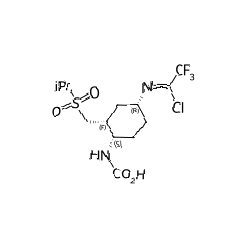 CC(C)S(=O)(=O)C[C@@H]1C[C@H](N=C(Cl)C(F)(F)F)CC[C@@H]1NC(=O)O